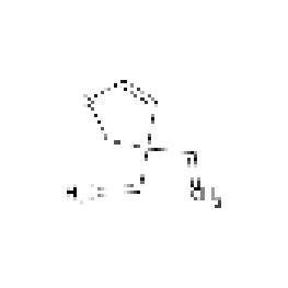 C=CC1(C=C)C=CSC1